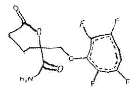 NC(=O)C1(COc2c(F)c(F)cc(F)c2F)[CH]CC(=O)O1